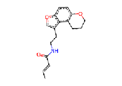 CC=CC(=O)NCCc1coc2ccc3c(c12)CCCO3